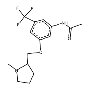 CC(=O)Nc1cc(OCC2CCCN2C)cc(C(F)(F)F)c1